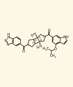 CC(C)Oc1cc(C(=O)N2C[C@@H]3[C@H]4CN(C(=O)c5ccc6[nH]nnc6c5)C[C@H]4[C@@H]3C2)cc2[nH]ccc12